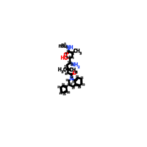 CCCCNC(=O)[C@H](C)C[C@H](O)[C@@H](N)CC(C)(C)CC(=O)N1C[C@@H](c2ccccc2)Cc2ccccc21